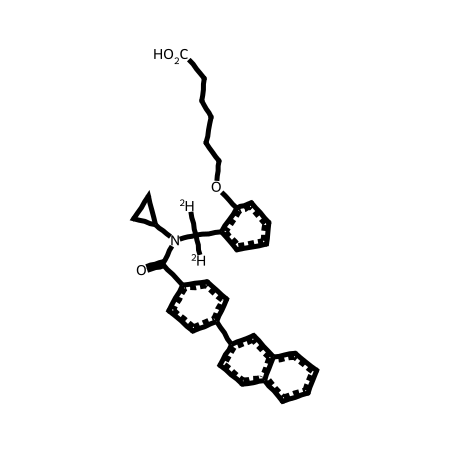 [2H]C([2H])(c1ccccc1OCCCCCC(=O)O)N(C(=O)c1ccc(-c2ccc3ccccc3c2)cc1)C1CC1